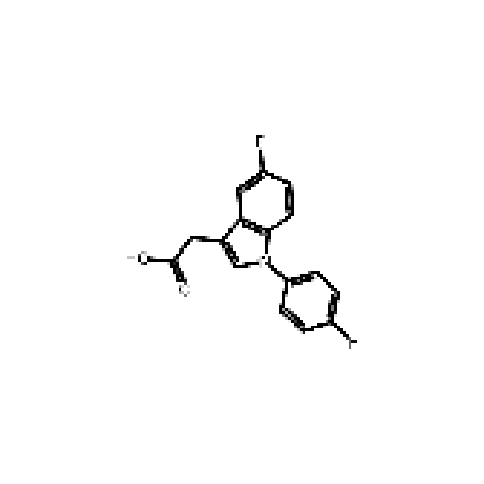 O=C(O)Cc1cn(-c2ccc(F)cc2)c2ccc(F)cc12